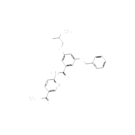 COC(=O)c1ccc(NC(=O)c2cc(OCc3ccccc3)cc(OCC(C)OC)c2)nc1